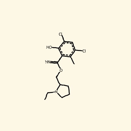 CCN1CCCC1COC(=N)c1c(C)c(Cl)cc(Cl)c1O